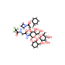 CC1CCC[C@@H](O[C@@H]2OC(CO)[C@H](O)C(O[C@@H](CC3CCCCC3)C(=O)N3CCC3)C2NC(=O)CNC(=O)C(F)(F)F)C1O[C@@H]1OC(C)[C@@H](O)C(O)C1O